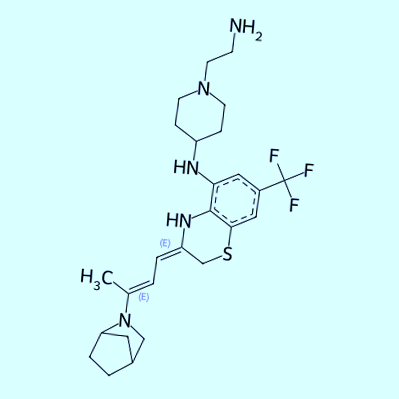 C/C(=C\C=C1/CSc2cc(C(F)(F)F)cc(NC3CCN(CCN)CC3)c2N1)N1CC2CCC1C2